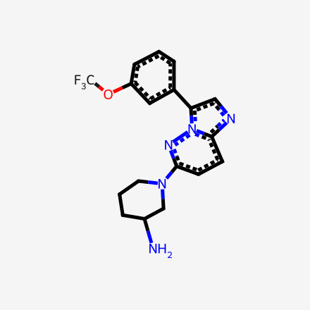 NC1CCCN(c2ccc3ncc(-c4cccc(OC(F)(F)F)c4)n3n2)C1